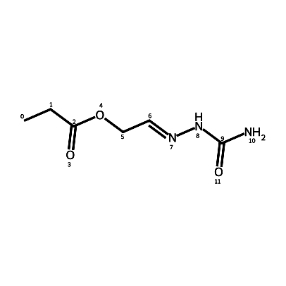 CCC(=O)OCC=NNC(N)=O